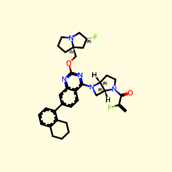 C=C(F)C(=O)N1CC[C@@H]2[C@H]1CN2c1nc(OC[C@@]23CCCN2C[C@H](F)C3)nc2cc(-c3cccc4c3CCCC4)ccc12